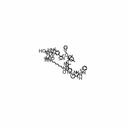 Cc1ncsc1-c1ccc([C@H](C)NC(=O)[C@@H]2C[C@@H](O)CN2C(=O)[C@@H](NC(=O)CCCCCCCNC(=O)c2nc(N3CCCc4c3nnc(Nc3nc5ccccc5s3)c4C)ccc2-c2cnn(CC34CC5(C)CC(C)(C3)CC(OCCN3CCCC3)(C5)C4)c2C)C(C)(C)C)cc1